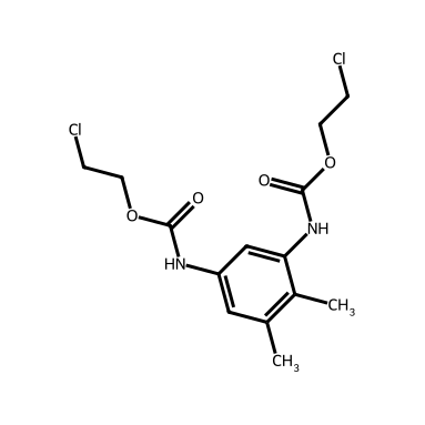 Cc1cc(NC(=O)OCCCl)cc(NC(=O)OCCCl)c1C